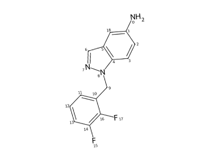 Nc1ccc2c(cnn2Cc2cccc(F)c2F)c1